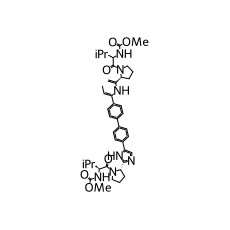 C=C(N/C(=C\C)c1ccc(-c2ccc(-c3cnc([C@@H]4CCCN4C(=O)[C@@H](NC(=O)OC)C(C)C)[nH]3)cc2)cc1)[C@@H]1CCCN1C(=O)C(NC(=O)OC)C(C)C